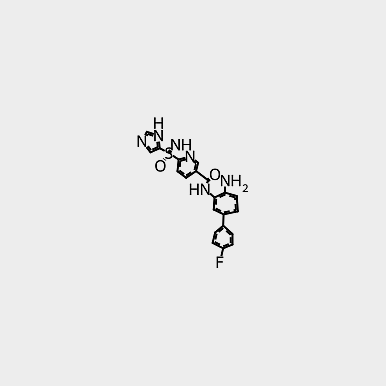 N=S(=O)(c1ccc(C(=O)Nc2cc(-c3ccc(F)cc3)ccc2N)cn1)c1cnc[nH]1